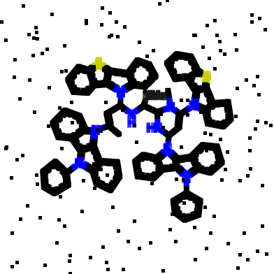 CNC(NC(/C=C(\C)n1c2ccccc2c2c1c1ccccc1n2-c1ccccc1)n1c2ccccc2c2sc3ccccc3c21)C1NC(n2c3ccccc3c3c2c2ccccc2n3-c2ccccc2)C=C(n2c3ccccc3c3sc4ccccc4c32)N1C